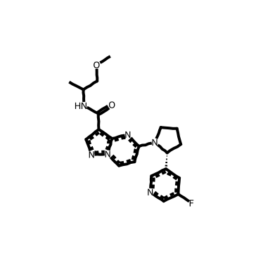 COCC(C)NC(=O)c1cnn2ccc(N3CCC[C@@H]3c3cncc(F)c3)nc12